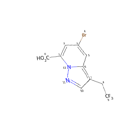 O=C(O)c1cc(Br)cc2c(CC(F)(F)F)cnn12